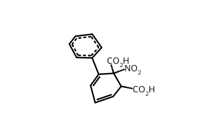 O=C(O)C1C=CC=C(c2ccccc2)C1(C(=O)O)[N+](=O)[O-]